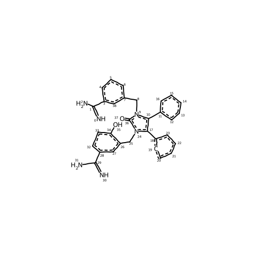 N=C(N)c1cccc(Cn2c(-c3ccccc3)c(-c3ccccc3)n(Cc3cc(C(=N)N)ccc3O)c2=O)c1